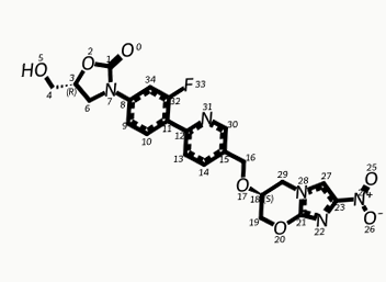 O=C1O[C@@H](CO)CN1c1ccc(-c2ccc(CO[C@@H]3COc4nc([N+](=O)[O-])cn4C3)cn2)c(F)c1